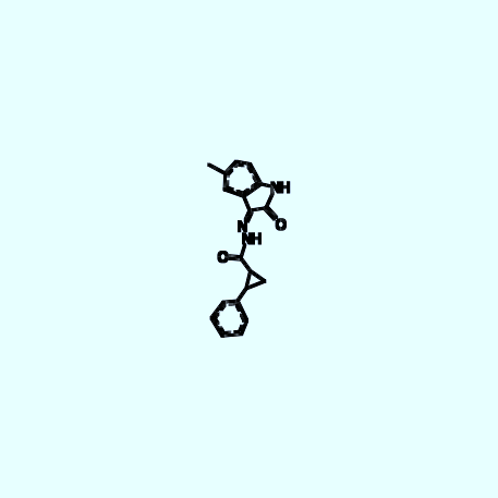 Cc1ccc2c(c1)/C(=N/NC(=O)C1CC1c1ccccc1)C(=O)N2